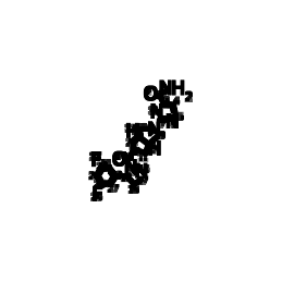 NC(=O)c1ccnc(N2C[C@H]3CC(C(=O)N4N=CCC4c4cc(F)cc(F)c4)C[C@H]3C2)n1